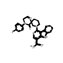 NC(=O)c1cnc(N2CCCC3(C2)OCCN(c2ccc(F)cc2)C3=O)c2c1[nH]c1ccccc12